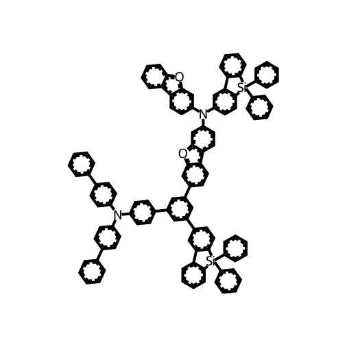 c1ccc(-c2ccc(N(c3ccc(-c4ccccc4)cc3)c3ccc(-c4cc(-c5ccc6c(c5)-c5ccccc5[Si]6(c5ccccc5)c5ccccc5)cc(-c5ccc6c(c5)oc5cc(N(c7ccc8c(c7)-c7ccccc7[Si]8(c7ccccc7)c7ccccc7)c7ccc8c(c7)oc7ccccc78)ccc56)c4)cc3)cc2)cc1